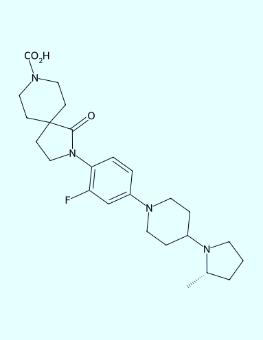 C[C@H]1CCCN1C1CCN(c2ccc(N3CCC4(CCN(C(=O)O)CC4)C3=O)c(F)c2)CC1